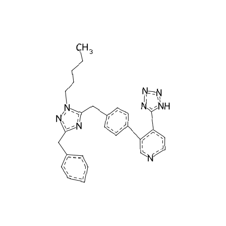 CCCCCn1nc(Cc2ccccc2)nc1Cc1ccc(-c2cnccc2-c2nnn[nH]2)cc1